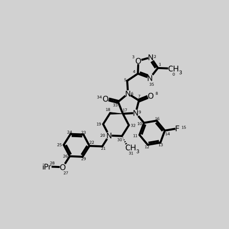 Cc1noc(CN2C(=O)N(c3cccc(F)c3)[C@@]3(CCN(Cc4cccc(OC(C)C)c4)[C@@H](C)C3)C2=O)n1